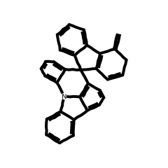 C=C1CC=CC2=C1c1ccccc1C21c2ccccc2-n2c3ccccc3c3cccc1c32